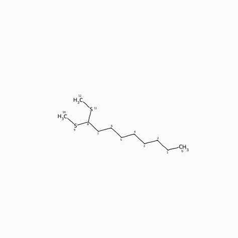 CCCCCCCCC(SC)SC